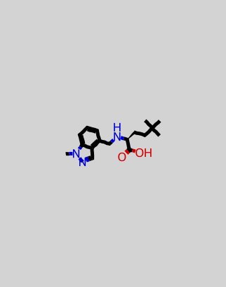 Cn1ncc2c(CN[C@@H](CCC(C)(C)C)C(=O)O)cccc21